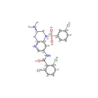 CN(C)[C@@H]1Cc2ncc(NC(=O)c3c(Cl)cccc3Cl)cc2N(S(=O)(=O)c2cccc(Cl)c2)C1